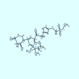 CCS(=O)(=O)NCc1csc(NC(=O)c2cc(N3CCC(=O)NC3=O)cc(C(C)(C)C)c2OC)c1